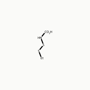 CCSSNC(=O)O